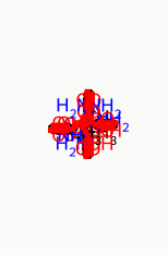 CC(COCC(COCC(C)n1c(=O)c2c(N)c3c(=O)c4ccccc4c(=O)c3c(O)c2c1=O)(COCC(C)n1c(=O)c2c(N)c3c(=O)c4ccccc4c(=O)c3c(O)c2c1=O)COCC(C)n1c(=O)c2c(N)c3c(=O)c4ccccc4c(=O)c3c(O)c2c1=O)n1c(=O)c2c(N)c3c(=O)c4ccccc4c(=O)c3c(N)c2c1=O